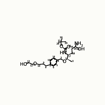 C[C@@H](OCc1ccc(CCCOCCO)cc1)[C@H](CCC(N)O)NC(=O)OC(C)(C)C